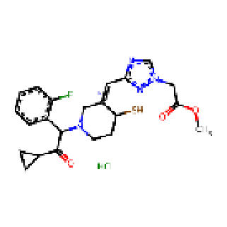 COC(=O)Cn1cnc(/C=C2/CN(C(C(=O)C3CC3)c3ccccc3F)CCC2S)n1.Cl